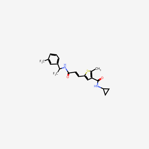 Cc1sc(/C=C/C(=O)NC(c2cccc(C(F)(F)F)c2)C(F)(F)F)cc1C(=O)NC1CC1